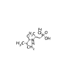 C=C(C)C(=O)N/C(C)=C/P(=O)(O)O